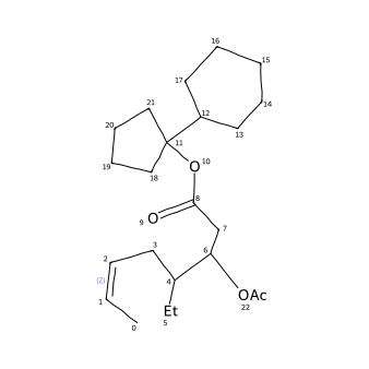 C/C=C\CC(CC)C(CC(=O)OC1(C2CCCCC2)CCCC1)OC(C)=O